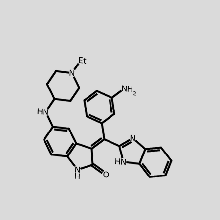 CCN1CCC(Nc2ccc3c(c2)C(=C(c2cccc(N)c2)c2nc4ccccc4[nH]2)C(=O)N3)CC1